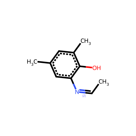 C/C=N\c1cc(C)cc(C)c1O